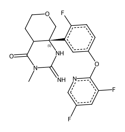 CN1C(=N)N[C@@]2(c3cc(Oc4ncc(F)cc4F)ccc3F)COCCC2C1=O